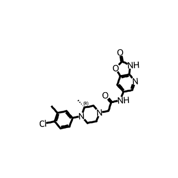 Cc1cc(N2CCN(CC(=O)Nc3cnc4[nH]c(=O)oc4c3)C[C@H]2C)ccc1Cl